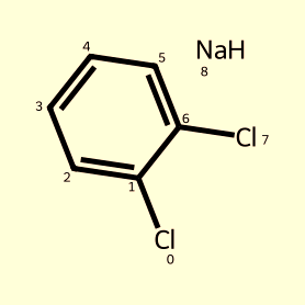 Clc1ccccc1Cl.[NaH]